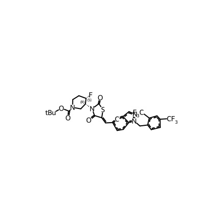 CC(C)(C)OC(=O)N1CC[C@H](F)[C@H](N2C(=O)SC(=Cc3ccc4c(cnn4Cc4ccc(C(F)(F)F)cc4C(F)(F)F)c3)C2=O)C1